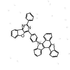 c1ccc(-c2nc(-c3ccc(-n4c5ccccc5c5c6c7ccccc7sc6c6ccccc6c54)cc3)c3oc4ccccc4c3n2)cc1